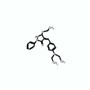 CCOC1NN(c2ccccc2)C(=O)C1=Cc1ccc(N(CC)CC)cc1